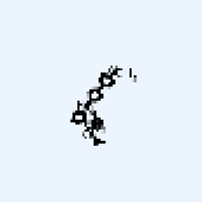 COc1ccc(-c2ccc(-c3nc4cccc(C)c4n3C[C@H]3CCN(C(=O)C4CC4)C3)cc2)cc1